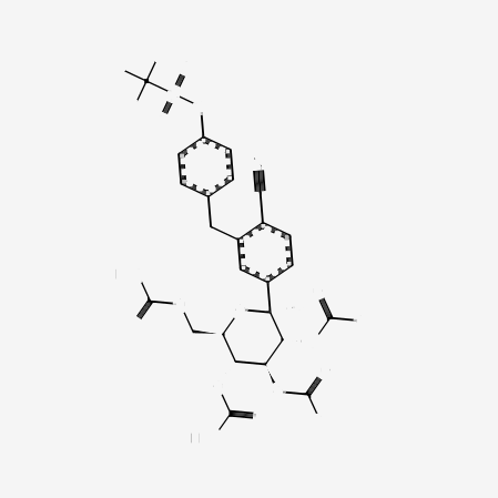 CC(=O)OC[C@H]1O[C@@](O)(c2ccc(C#N)c(Cc3ccc(OS(=O)(=O)C(F)(F)F)cc3)c2)[C@H](OC(C)=O)[C@@H](OC(C)=O)[C@@H]1OC(C)=O